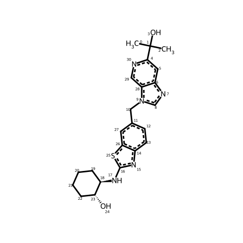 CC(C)(O)c1cc2ncn(Cc3ccc4nc(N[C@@H]5CCCC[C@H]5O)sc4c3)c2cn1